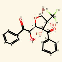 O=C(c1ccccc1)C(O)[C@H]1O[C@H](Br)[C@@](O)(C(F)(F)F)[C@@]1(O)C(=O)c1ccccc1